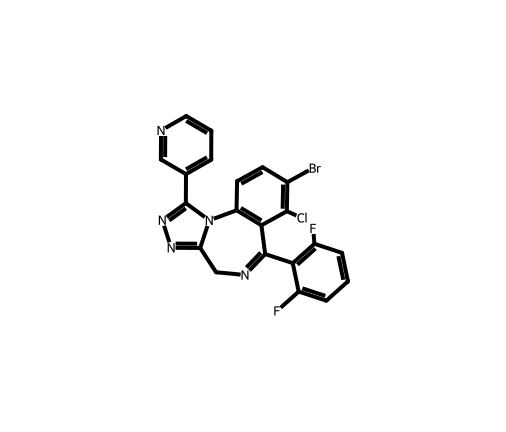 Fc1cccc(F)c1C1=NCc2nnc(-c3cccnc3)n2-c2ccc(Br)c(Cl)c21